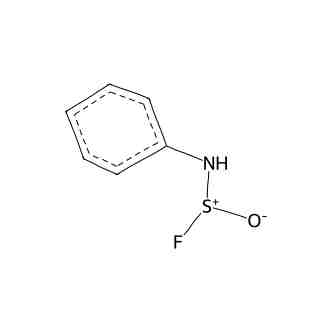 [O-][S+](F)Nc1ccccc1